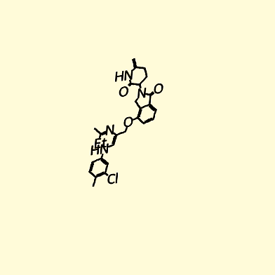 C=C1CCC(N2Cc3c(OCC(=C/Nc4ccc(C)c(Cl)c4)/N=C(/C)CC)cccc3C2=O)C(=O)N1